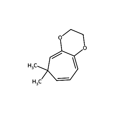 CC1(C)C=CC=C2OCCOC2=C1